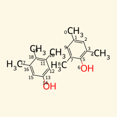 Cc1cc(C)c(O)c(C)c1.Cc1cc(O)cc(C)c1C